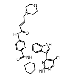 O=C(/C=C/CN1CCOCC1)Nc1ccc(C(=O)N[C@H]2CCC[C@@H](Nc3ncc(Cl)c(-c4c[nH]c5ccccc45)n3)C2)nc1